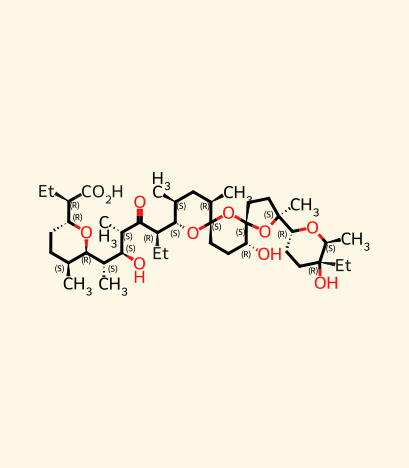 CC[C@@H](C(=O)[C@@H](C)[C@@H](O)[C@H](C)[C@@H]1O[C@@H]([C@@H](CC)C(=O)O)CC[C@@H]1C)[C@H]1O[C@]2(CC[C@@H](O)[C@]3(CC[C@@](C)([C@H]4CC[C@](O)(CC)[C@H](C)O4)O3)O2)[C@H](C)C[C@@H]1C